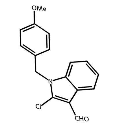 COc1ccc(Cn2c(Cl)c(C=O)c3ccccc32)cc1